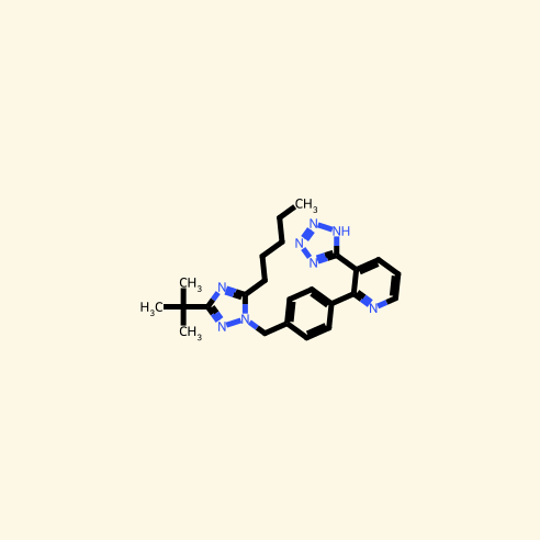 CCCCCc1nc(C(C)(C)C)nn1Cc1ccc(-c2ncccc2-c2nnn[nH]2)cc1